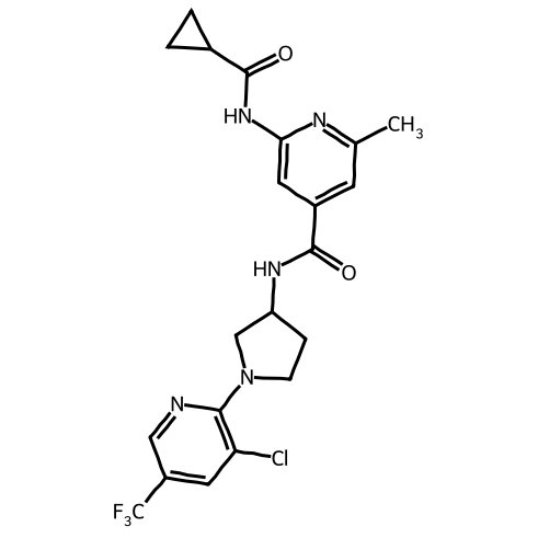 Cc1cc(C(=O)NC2CCN(c3ncc(C(F)(F)F)cc3Cl)C2)cc(NC(=O)C2CC2)n1